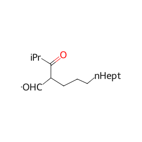 CCCCCCCCCCC([C]=O)C(=O)C(C)C